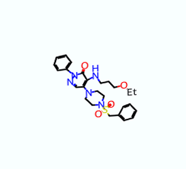 CCOCCCNc1c(N2CCN(S(=O)(=O)Cc3ccccc3)CC2)cnn(-c2ccccc2)c1=O